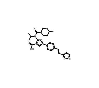 CC1CCC(C(=O)N(c2nn(-c3ccc(C=Cc4cc[nH]n4)cc3)cc2C(=O)O)C(C)C)CC1